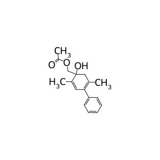 CC(=O)OCC1(O)CC(C)=C(c2ccccc2)C=C1C